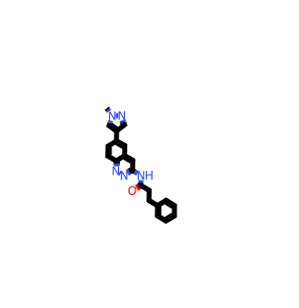 Cn1cc(-c2ccc3nnc(NC(=O)CCc4ccccc4)cc3c2)cn1